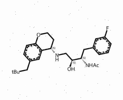 CC(=O)N[C@@H](Cc1cccc(F)c1)[C@@H](O)CN[C@H]1CCOc2ccc(CC(C)(C)C)cc21